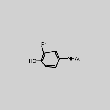 CC(=O)Nc1ccc(O)c(C(C)C)c1